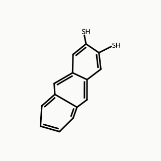 Sc1cc2cc3ccccc3cc2cc1S